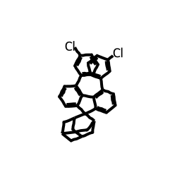 Clc1cccc(-c2cccc3c2-c2c(-c4cccc(Cl)c4)cccc2C32C3CC4CC(C3)CC2C4)c1